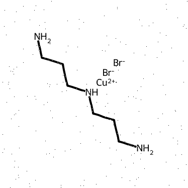 NCCCNCCCN.[Br-].[Br-].[Cu+2]